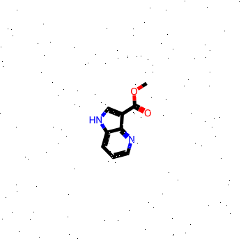 COC(=O)c1c[nH]c2cccnc12